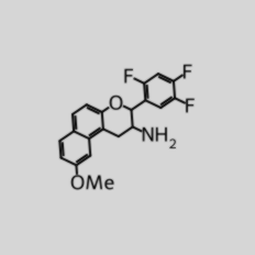 COc1ccc2ccc3c(c2c1)CC(N)C(c1cc(F)c(F)cc1F)O3